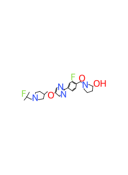 CC(C)(F)CN1CCC(COc2cnc(-c3ccc(C(=O)N4CCC[C@@H](O)C4)c(F)c3)nc2)CC1